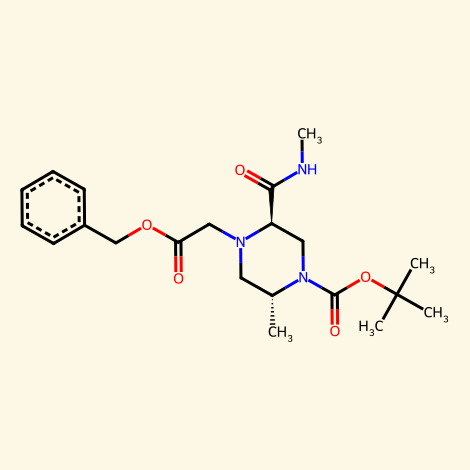 CNC(=O)[C@H]1CN(C(=O)OC(C)(C)C)[C@H](C)CN1CC(=O)OCc1ccccc1